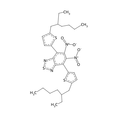 CCCCC(CC)Cc1ccc(-c2c([N+](=O)[O-])c([N+](=O)[O-])c(-c3ccc(CC(CC)CCCC)s3)c3nsnc23)s1